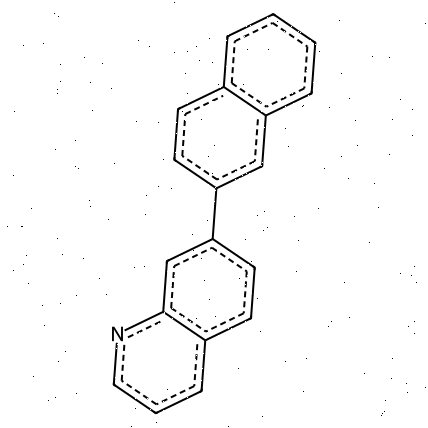 c1ccc2cc(-c3ccc4cccnc4c3)ccc2c1